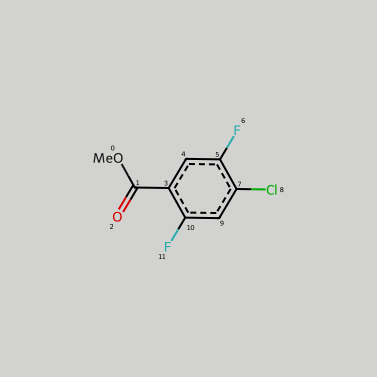 COC(=O)c1cc(F)c(Cl)cc1F